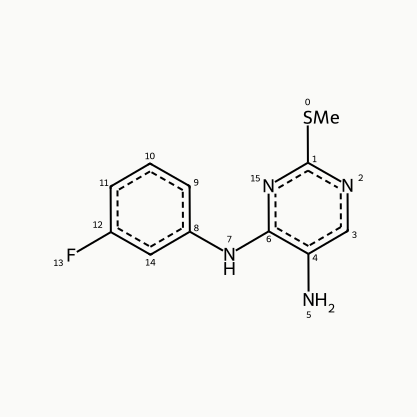 CSc1ncc(N)c(Nc2cccc(F)c2)n1